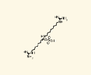 N=C(N)NCCCCCCCCNCCCCCCCCNC(=N)N.O=S(=O)(O)O